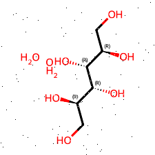 O.O.OC[C@@H](O)[C@@H](O)[C@H](O)[C@H](O)CO